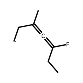 [CH2]CC(C)=C=C(F)CC